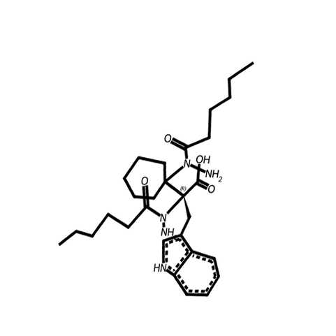 CCCCCC(=O)N(N)C1([C@](Cc2c[nH]c3ccccc23)(C(=O)O)N(N)C(=O)CCCCC)CCCCC1